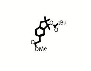 COC(=O)Cc1ccc2c(c1)C(C)(OC(=O)C(C)(C)C)C(C)(C)C2